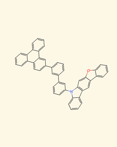 c1cc(-c2cccc(-n3c4ccccc4c4cc5c(cc43)oc3ccccc35)c2)cc(-c2ccc3c4ccccc4c4ccccc4c3c2)c1